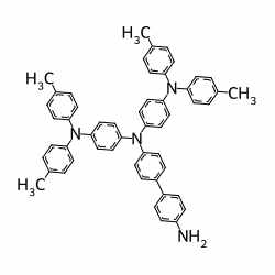 Cc1ccc(N(c2ccc(C)cc2)c2ccc(N(c3ccc(-c4ccc(N)cc4)cc3)c3ccc(N(c4ccc(C)cc4)c4ccc(C)cc4)cc3)cc2)cc1